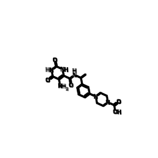 CC(NC(=O)c1[nH]c(=O)[nH]c(=O)c1N)c1cccc(N2CCN(C(=O)O)CC2)c1